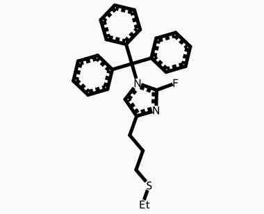 CCSCCCc1cn(C(c2ccccc2)(c2ccccc2)c2ccccc2)c(F)n1